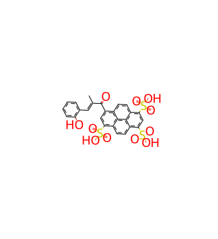 CC(=Cc1ccccc1O)C(=O)c1cc(S(=O)(=O)O)c2ccc3c(S(=O)(=O)O)cc(S(=O)(=O)O)c4ccc1c2c43